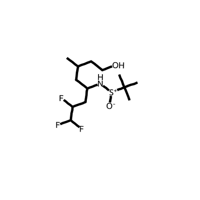 CC(CCO)CC(CC(F)C(F)F)N[S+]([O-])C(C)(C)C